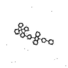 c1ccc(-c2ccc(-c3c4ccccc4c(-c4ccc(-c5cccc6c5-c5ccccc5C65c6ccccc6-c6ccccc65)nc4)c4ccccc34)cc2)cc1